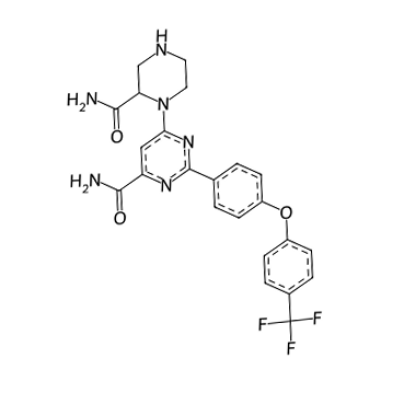 NC(=O)c1cc(N2CCNCC2C(N)=O)nc(-c2ccc(Oc3ccc(C(F)(F)F)cc3)cc2)n1